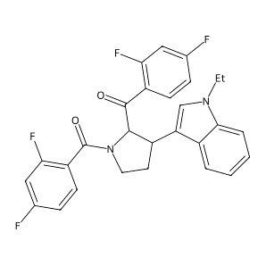 CCn1cc(C2CCN(C(=O)c3ccc(F)cc3F)C2C(=O)c2ccc(F)cc2F)c2ccccc21